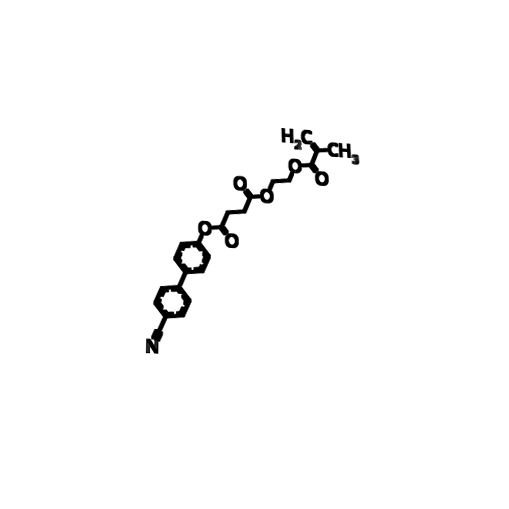 C=C(C)C(=O)OCCOC(=O)CCC(=O)Oc1ccc(-c2ccc(C#N)cc2)cc1